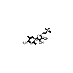 C=C1N=C(N)C(C)=CN1[C@@H]1O[C@H](CCP(=C)(C)C)[C@@H](O)C1O